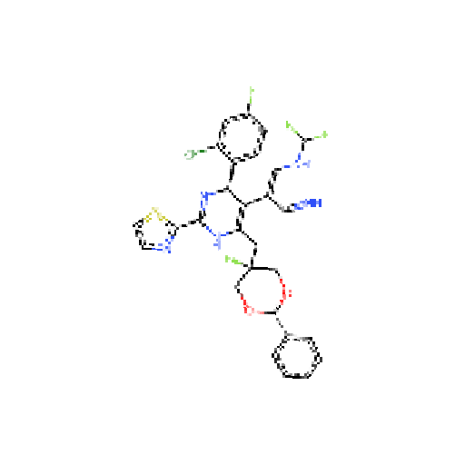 N=C/C(=C\NC(F)F)C1=C(C[C@]2(F)CO[C@H](c3ccccc3)OC2)NC(c2nccs2)=N[C@H]1c1ccc(F)cc1Cl